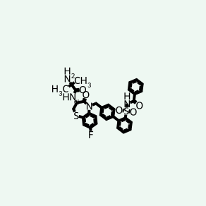 CC(C)(N)C(=O)N[C@@H]1CSc2cc(F)ccc2N(Cc2ccc(-c3ccccc3S(=O)(=O)NC(=O)c3ccccc3)cc2)C1=O